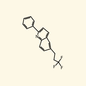 FC(F)(F)CCc1ccc2nc(-c3ccccc3)ccc2c1